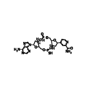 NC(=O)c1cc(C2C[C@@H]3OP(S)OCC4OC(n5cnc6c(N)ncnc65)C[C@@H]4O[PH](=O)OCC3O2)ccn1